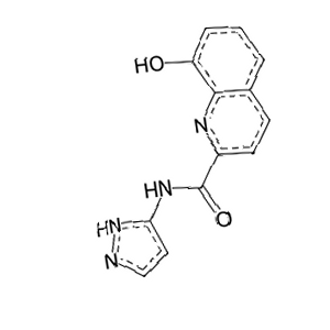 O=C(Nc1ccn[nH]1)c1ccc2cccc(O)c2n1